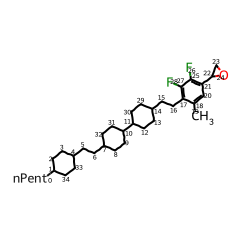 CCCCCC1CCC(CCC2CCC(C3CCC(CCc4c(C)cc(C5CO5)c(F)c4F)CC3)CC2)CC1